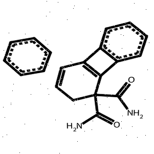 NC(=O)C1(C(N)=O)CC=CC2=C1c1ccccc12.c1ccccc1